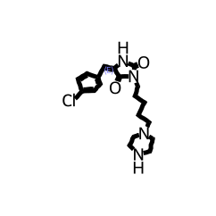 O=C1N/C(=C/c2ccc(Cl)cc2)C(=O)N1CCCCCN1CCNCC1